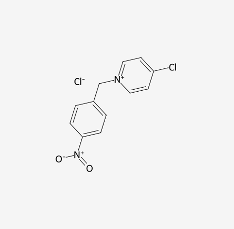 O=[N+]([O-])c1ccc(C[n+]2ccc(Cl)cc2)cc1.[Cl-]